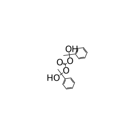 CC(O)(OC(=O)OC(C)(O)c1ccccc1)c1ccccc1